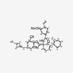 C=Cc1cnc(C(=O)NC2(c3nc4cc(CN5CC(F)C5)cc(C#N)c4o3)C=CC=C(c3ccccc3C)C2Cl)cc1OC